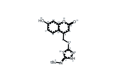 CC(C)(C)/N=c1/[nH]nc(SCc2cc(=O)oc3cc(O)ccc23)s1